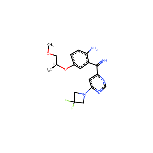 COC[C@H](C)Oc1ccc(N)c(C(=N)c2cc(N3CC(F)(F)C3)ncn2)c1